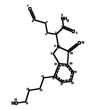 NC(=O)C(CCC=O)N1Cc2c(CCCCO)cccc2C1=O